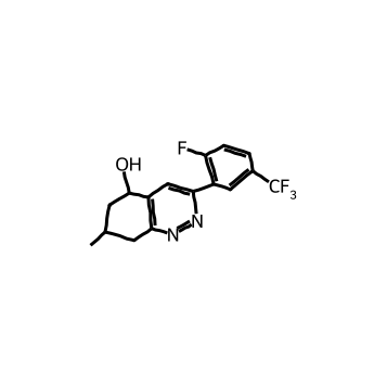 CC1Cc2nnc(-c3cc(C(F)(F)F)ccc3F)cc2C(O)C1